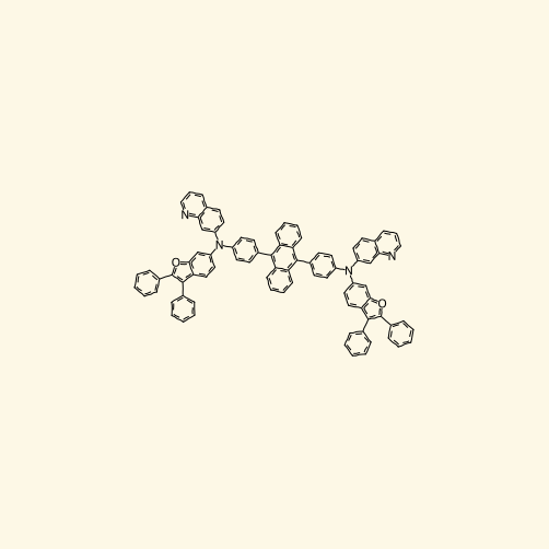 c1ccc(-c2oc3cc(N(c4ccc(-c5c6ccccc6c(-c6ccc(N(c7ccc8cccnc8c7)c7ccc8c(-c9ccccc9)c(-c9ccccc9)oc8c7)cc6)c6ccccc56)cc4)c4ccc5cccnc5c4)ccc3c2-c2ccccc2)cc1